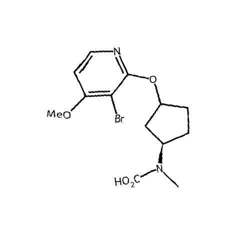 COc1ccnc(OC2CC[C@@H](N(C)C(=O)O)C2)c1Br